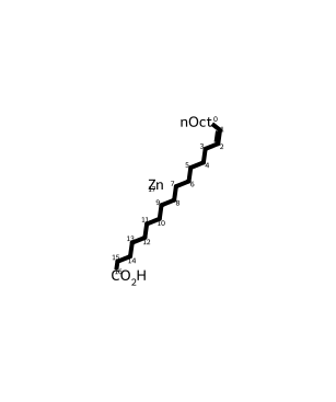 CCCCCCCC/C=C\CCCCCCCCCCCCCC(=O)O.[Zn]